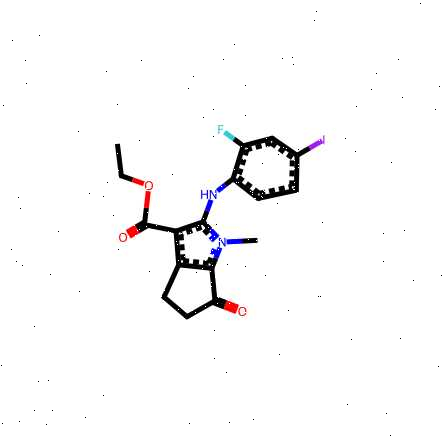 CCOC(=O)c1c2c(n(C)c1Nc1ccc(I)cc1F)C(=O)CC2